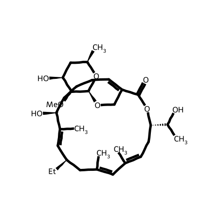 CC[C@H]1/C=C(\C)[C@@H](O)CCC/C=C(\CO[C@@H]2O[C@H](C)C[C@H](O)[C@@H]2OC)C(=O)O[C@H](C(C)O)C/C=C(C)/C=C(\C)C1